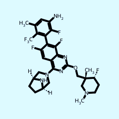 Cc1cc(N)c(F)c(-c2c(F)cc3c(N4C[C@H]5CC[C@@H](C4)N5)nc(OC[C@@]4(C)CN(C)CC[C@H]4F)nc3c2F)c1C(F)(F)F